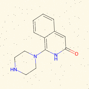 O=c1cc2ccccc2c(N2CCNCC2)[nH]1